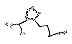 CCCCCCCCCCn1nnnc1C(C)C(=O)O